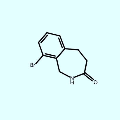 O=C1CCc2cccc(Br)c2CN1